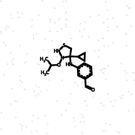 CC(C)ON1NSCC1(Nc1cccc(C=O)c1)C1CC1